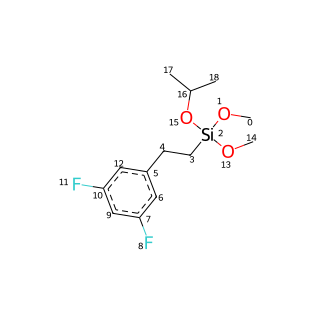 CO[Si](CCc1cc(F)cc(F)c1)(OC)OC(C)C